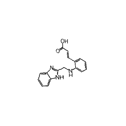 O=C(O)C=Cc1ccccc1NCc1nc2ccccc2[nH]1